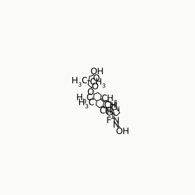 CC(C)(CC(=O)O)CC(=O)O[C@H]1CC[C@@]2(C)C(CC[C@]3(C)C2CC[C@@H]2[C@H]4CCC[C@]4(C(F)/N=N/CO)CC[C@]23C)C1(C)C